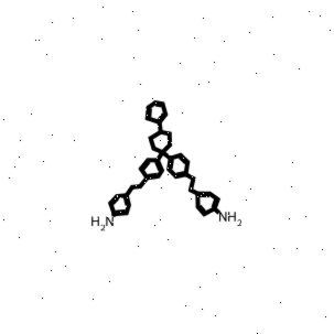 Nc1ccc(CCc2ccc(C3(c4ccc(CCc5ccc(N)cc5)cc4)CCC(c4ccccc4)CC3)cc2)cc1